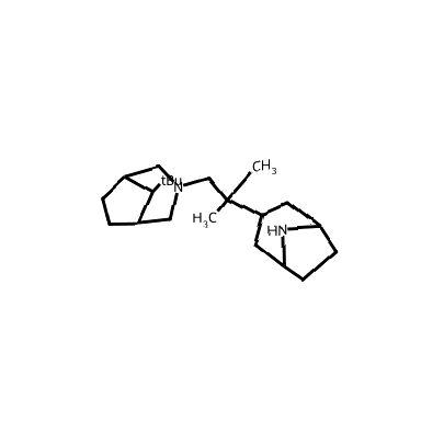 CC(C)(C)C1C2CCC1CN(CC(C)(C)C1CC3CCC(C1)N3)C2